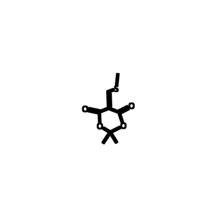 CSC=C1C(=O)OC(C)(C)OC1=O